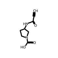 C#CC(=O)NC1CCN(C(=O)O)C1